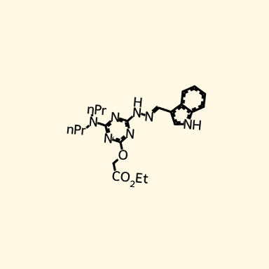 CCCN(CCC)c1nc(N/N=C/c2c[nH]c3ccccc23)nc(OCC(=O)OCC)n1